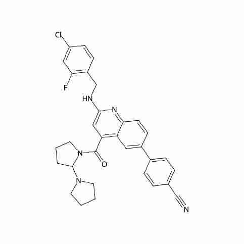 N#Cc1ccc(-c2ccc3nc(NCc4ccc(Cl)cc4F)cc(C(=O)N4CCCC4N4CCCC4)c3c2)cc1